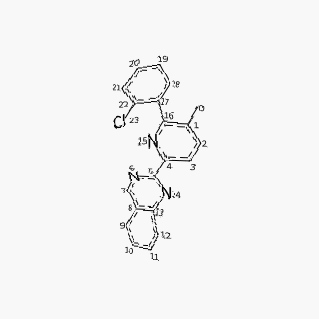 Cc1ccc(-c2ncc3ccccc3n2)nc1-c1ccccc1Cl